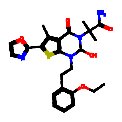 CCOc1ccccc1CCN1c2sc(-c3ncco3)c(C)c2C(=O)N(C(C)(C)C(N)=O)C1O